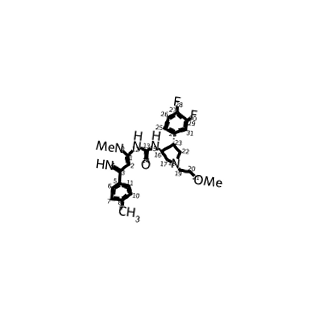 CN/C(=C\C(=N)c1ccc(C)cc1)NC(=O)N[C@@H]1CN(CCOC)C[C@H]1c1ccc(F)c(F)c1